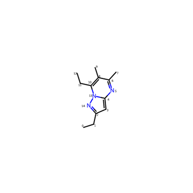 CCc1cc2nc(C)c(C)c(CC)n2n1